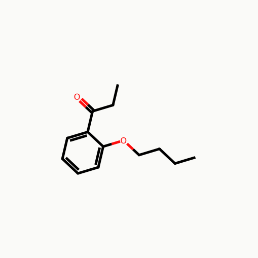 CCCCOc1ccccc1C(=O)CC